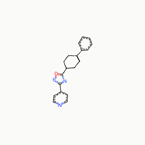 c1ccc(C2CCC(c3nc(-c4ccncc4)no3)CC2)cc1